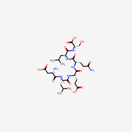 CC(C)C[C@H](NC(=O)[C@H](CCC(N)=O)NC(=O)[C@H](CCC(=O)O)NC(=O)[C@H](CC(C)C)NC(=O)[C@@H](N)CC(=O)O)C(=O)N[C@@H](CO)C(=O)O